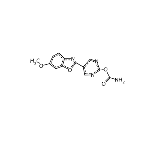 COc1ccc2nc(-c3cnc(OC(N)=O)nc3)oc2c1